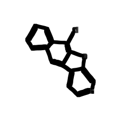 Clc1c2ccccc2cc2c1oc1cnccc12